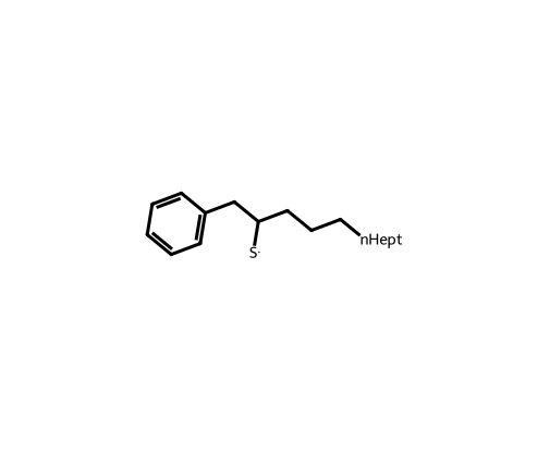 CCCCCCCCCCC([S])Cc1ccccc1